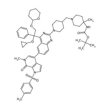 Cc1ccc(S(=O)(=O)n2ccc3c(-c4ccc5nc(N6CCC(CN7CCC(C)(NC(=O)OC(C)(C)C)CC7)CC6)nc(C(COC6CCCCO6)(OC6CC6)c6ccccc6)c5c4)cn(C)c(=O)c32)cc1